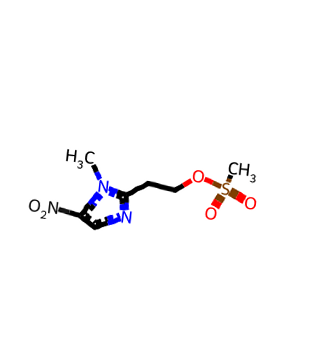 Cn1c([N+](=O)[O-])cnc1CCOS(C)(=O)=O